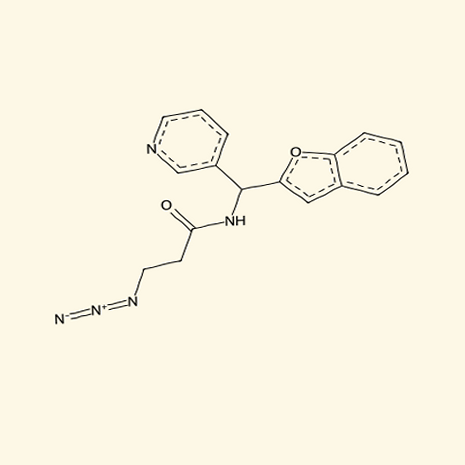 [N-]=[N+]=NCCC(=O)NC(c1cccnc1)c1cc2ccccc2o1